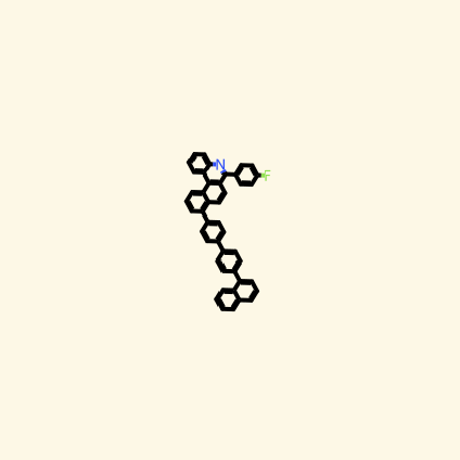 Fc1ccc(-c2nc3ccccc3c3c2ccc2c(-c4ccc(-c5ccc(-c6cccc7ccccc67)cc5)cc4)cccc23)cc1